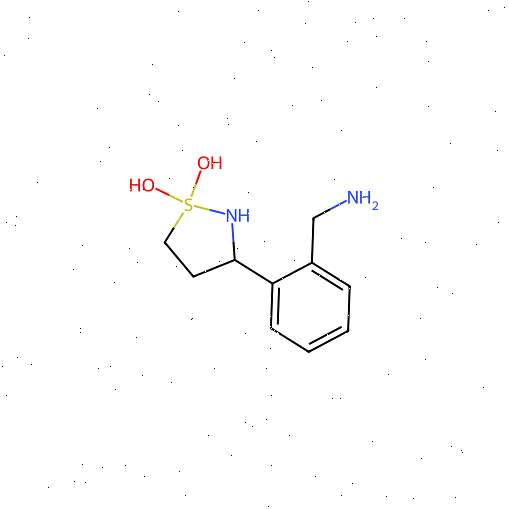 NCc1ccccc1C1CCS(O)(O)N1